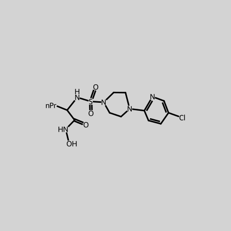 CCCC(NS(=O)(=O)N1CCN(c2ccc(Cl)cn2)CC1)C(=O)NO